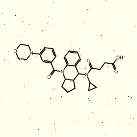 O=C(O)CCC(=O)N(C1CC1)C1c2ccccc2N(C(=O)c2cccc(N3CCOCC3)c2)C2CCCC21